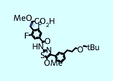 CO/C(=C/c1c(F)cc(C(=O)Nc2nc(-c3cccc(CCCOCC(C)(C)C)c3)c(OC)s2)cc1F)C(=O)O